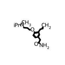 C=CCc1cc(CC(N)=O)ccc1OCCCN(C)C(C)C